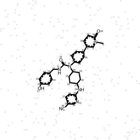 Cn1cc(-c2ccc(N(C(=O)NCc3ccc(O)cc3)C3CCC(Nc4ccc(C#N)cn4)CC3)cc2)ccc1=O